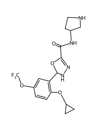 O=C(NC1CCNC1)C1=NNC(c2cc(OC(F)(F)F)ccc2OC2CC2)O1